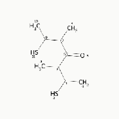 CC(S)C(C)C(=O)C(C)C(C)S